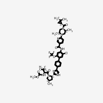 COC(=O)N[C@H](C(=O)N1C[C@@H](C)C[C@H]1c1nc(-c2ccc(-c3cc(Cl)c(NC(=O)c4ccc(N5C[C@H](C)N(C(=O)[C@H]6CC6(C)C)C[C@H]5C)nc4)cc3OC(F)(F)F)cc2)c[nH]1)C(C)C